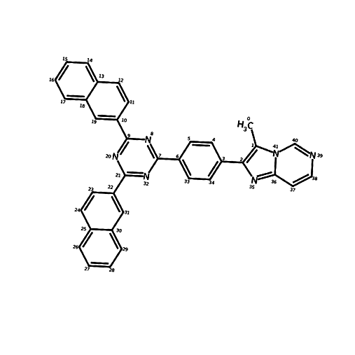 Cc1c(-c2ccc(-c3nc(-c4ccc5ccccc5c4)nc(-c4ccc5ccccc5c4)n3)cc2)nc2ccncn12